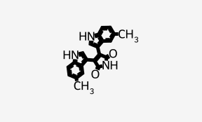 Cc1ccc2[nH]cc(C3=C(c4c[nH]c5ccc(C)cc45)C(=O)NC3=O)c2c1